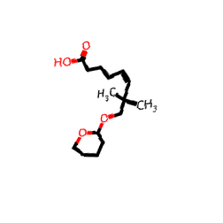 CC(C)(/C=C\CCCC(=O)O)COC1CCCCO1